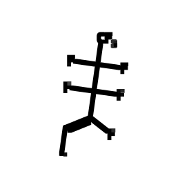 [CH2]C=C(F)C(F)(F)C(F)(F)C(F)(F)F